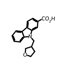 O=C(O)c1ccc2c3ccccc3n(CC3CCOC3)c2c1